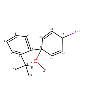 COC1(c2ccccc2C(C)(C)C)C=CC(I)C=C1